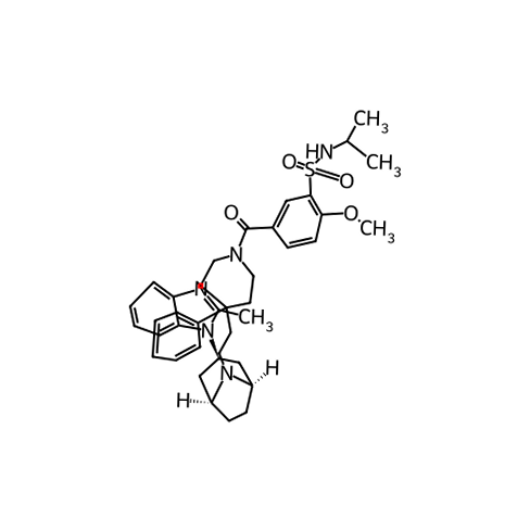 COc1ccc(C(=O)N2CCC(CCN3[C@@H]4CC[C@H]3C[C@@H](n3c(C)nc5ccccc53)C4)(c3ccccc3)CC2)cc1S(=O)(=O)NC(C)C